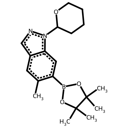 Cc1cc2cnn(C3CCCCO3)c2cc1B1OC(C)(C)C(C)(C)O1